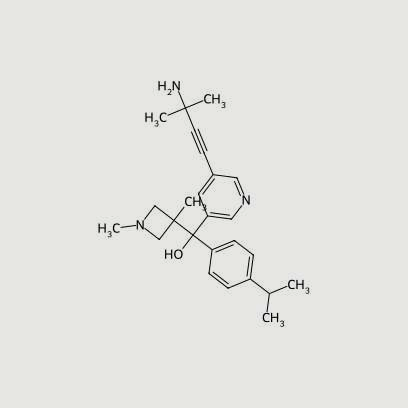 CC(C)c1ccc(C(O)(c2cncc(C#CC(C)(C)N)c2)C2(C)CN(C)C2)cc1